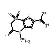 CCCCN1C(=O)CS(=O)(=O)c2sc(C(=N)N)cc21.Cl